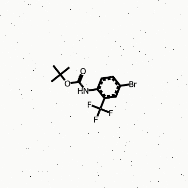 CC(C)(C)OC(=O)Nc1ccc(Br)cc1C(F)(F)F